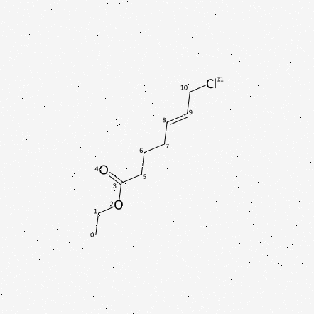 CCOC(=O)CCCC=CCCl